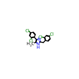 Cc1[nH]c(Cc2ccc(Cl)cc2Cl)nc1-c1ccc(Cl)cc1Cl